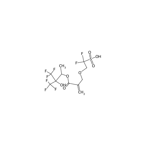 C=C(COCC(F)(F)S(=O)(=O)O)C(=O)OC(C)C(O)(C(F)(F)F)C(F)(F)F